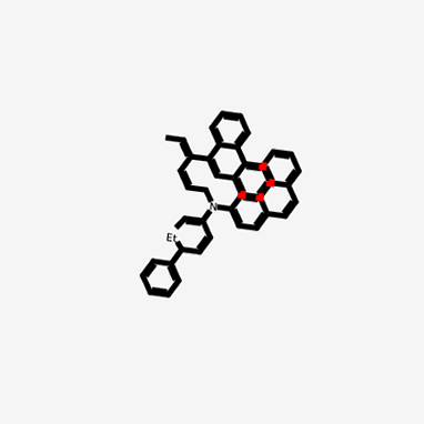 C/C=C(\C=C/CN(C(/C=C\C(CC)c1ccccc1)=C/C)c1ccc2ccc3ccccc3c2c1)c1cc2ccccc2c2ccccc12